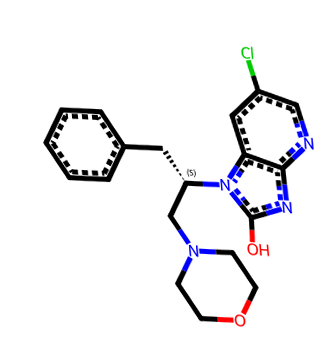 Oc1nc2ncc(Cl)cc2n1[C@@H](Cc1ccccc1)CN1CCOCC1